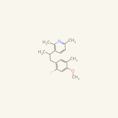 COc1cc(F)c(CC(C)c2ccc(C)nc2C)cc1C